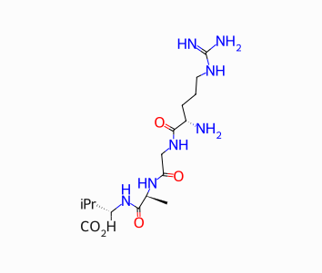 CC(C)[C@H](NC(=O)[C@H](C)NC(=O)CNC(=O)[C@@H](N)CCCNC(=N)N)C(=O)O